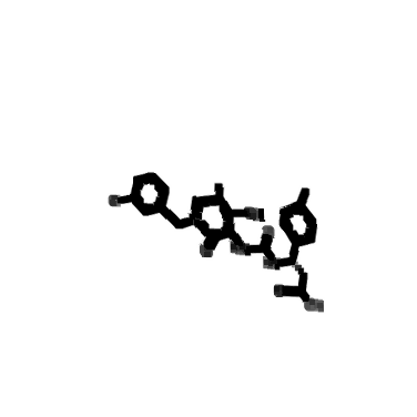 Cc1ccc([C@H](CC(=O)O)NC(=O)Nc2c(O)c(C)cn(Cc3cccc(Cl)c3)c2=O)cc1